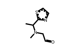 CC(c1nccs1)N(C)CC=O